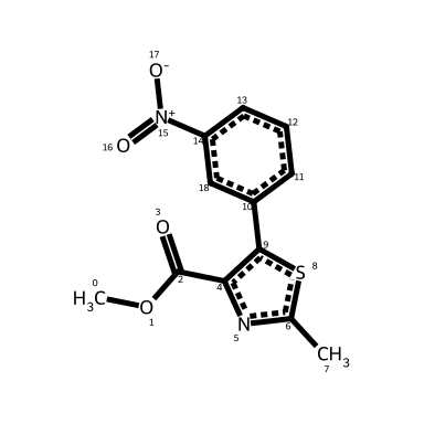 COC(=O)c1nc(C)sc1-c1cccc([N+](=O)[O-])c1